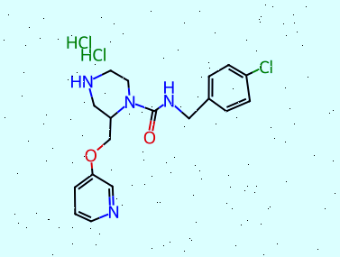 Cl.Cl.O=C(NCc1ccc(Cl)cc1)N1CCNCC1COc1cccnc1